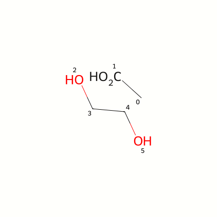 CC(=O)O.OCCO